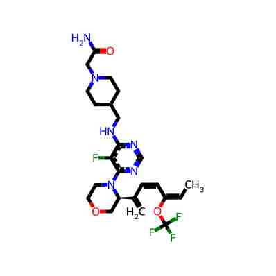 C=C(/C=C\C(=C/C)OC(F)(F)F)[C@H]1COCCN1c1ncnc(NCC2CCN(CC(N)=O)CC2)c1F